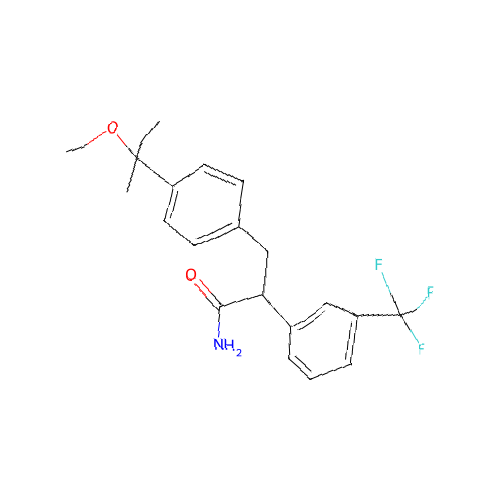 COC(C)(C)c1ccc(CC(C(N)=O)c2cccc(C(F)(F)F)c2)cc1